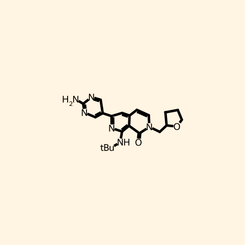 CC(C)(C)Nc1nc(-c2cnc(N)nc2)cc2ccn(CC3CCCO3)c(=O)c12